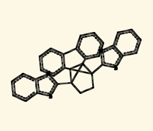 c1ccc2c(c1)-c1ccccc1C21C2(c3nc4ccccc4s3)CCC1(c1nc3ccccc3s1)CC2